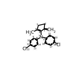 C=C1CCC(C)=C1N(c1ccc(Cl)cc1)c1ccc(Cl)cc1